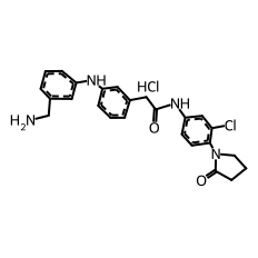 Cl.NCc1cccc(Nc2cccc(CC(=O)Nc3ccc(N4CCCC4=O)c(Cl)c3)c2)c1